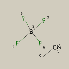 CC#N.F[B-](F)(F)F